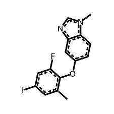 Cc1cc(I)cc(F)c1Oc1ccc2c(c1)ncn2C